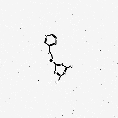 Clc1nc(Cl)nc(NCCc2cccnc2)n1